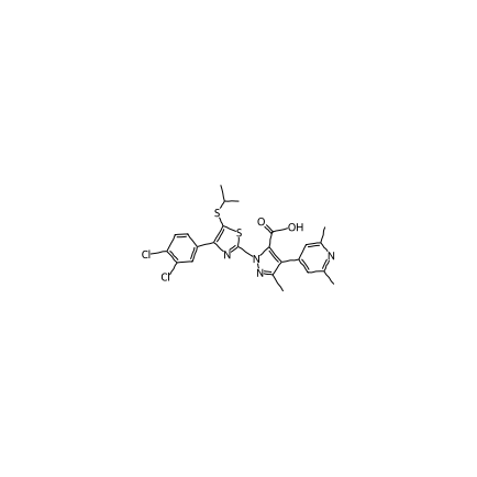 Cc1cc(-c2c(C)nn(-c3nc(-c4ccc(Cl)c(Cl)c4)c(SC(C)C)s3)c2C(=O)O)cc(C)n1